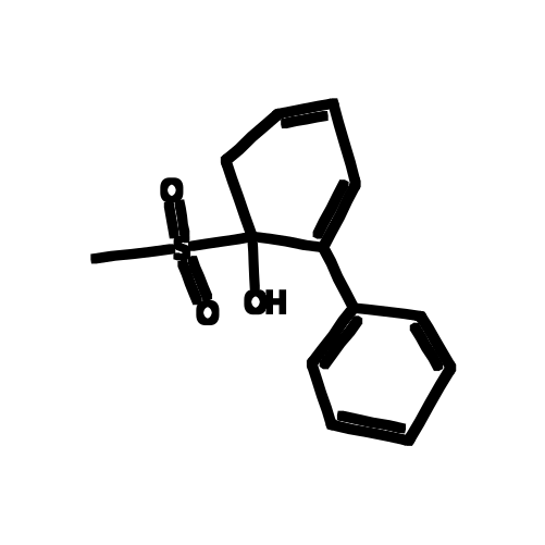 CS(=O)(=O)C1(O)CC=CC=C1c1ccccc1